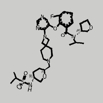 CC(C)N(C(=O)c1cccc(F)c1Oc1cncnc1N1CC2(CCN(C[C@@H]3CC[C@@H](NS(=O)(=O)C(C)C)CO3)CC2)C1)[C@@H]1CCOC1